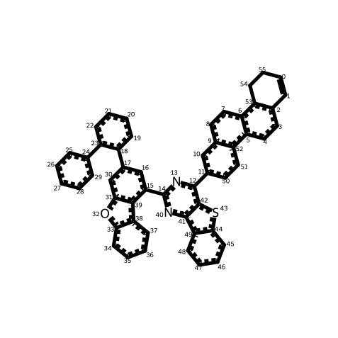 C1=Cc2ccc3c(ccc4cc(-c5nc(-c6cc(-c7ccccc7-c7ccccc7)cc7oc8ccccc8c67)nc6c5sc5ccccc56)ccc43)c2CC1